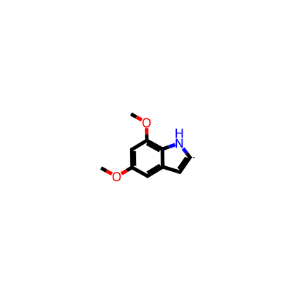 COc1cc(OC)c2[nH][c]cc2c1